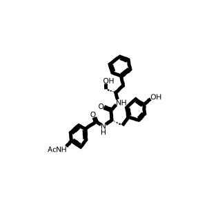 CC(=O)Nc1ccc(C(=O)N[C@@H](Cc2ccc(O)cc2)C(=O)N[C@H](CO)Cc2ccccc2)cc1